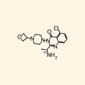 C[C@H](N)c1nc2cccc(Cl)c2c(=O)n1N1CCN(C2COC2)CC1